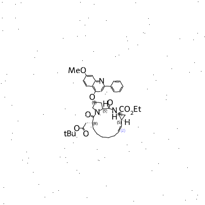 CCOC(=O)[C@@]12C[C@H]1/C=C\CCCCC[C@H](CC(=O)OC(C)(C)C)C(=O)N1C[C@H](Oc3cc(-c4ccccc4)nc4cc(OC)ccc34)C[C@H]1C(=O)N2